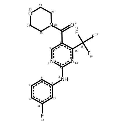 O=C(c1cnc(Nc2cccc(F)c2)nc1C(F)(F)F)N1CCOCC1